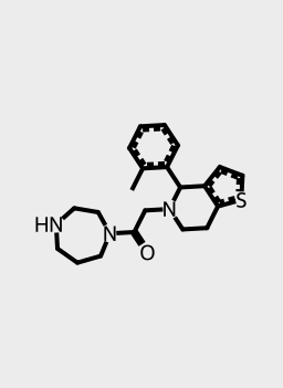 Cc1ccccc1C1c2ccsc2CCN1CC(=O)N1CCCNCC1